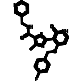 Cc1nc(-c2c(OCc3ccc(F)cc3)cc[nH]c2=O)sc1C(=O)NCc1cccnc1